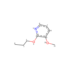 CCCOc1ncccc1OC